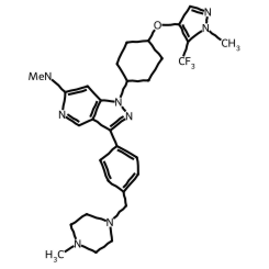 CNc1cc2c(cn1)c(-c1ccc(CN3CCN(C)CC3)cc1)nn2C1CCC(Oc2cnn(C)c2C(F)(F)F)CC1